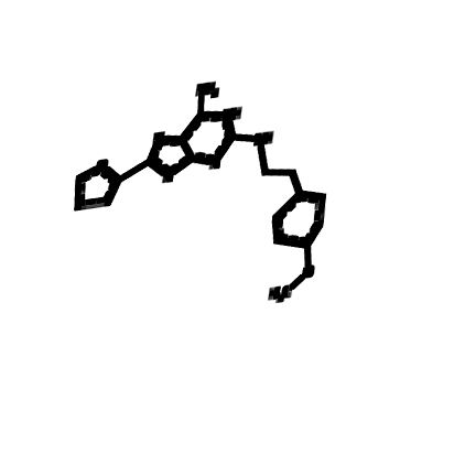 COc1ccc(CCNc2nc3nc(-c4ccco4)nc-3c(N)[nH]2)cc1